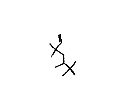 C=CC(C)(F)CC(C)C(C)(C)C